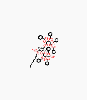 C=CCCCCCCCCOC(O)C(OC(C)=O)C(OC(O)C(OC(=O)c1ccccc1)C(OC(=O)c1ccccc1)C(CCO)OC(=O)c1ccccc1)C(CCOC(O)C(OC(=O)c1ccccc1)C(OC(=O)c1ccccc1)C(CCOC(=O)c1ccccc1)OC(=O)c1ccccc1)OC(C)=O